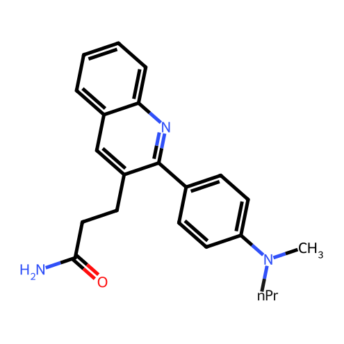 CCCN(C)c1ccc(-c2nc3ccccc3cc2CCC(N)=O)cc1